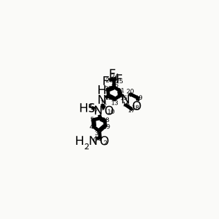 NC(=O)c1ccc(N(S)C(=O)Nc2cc(N3CCOCC3)cc(C(F)(F)F)c2)cc1